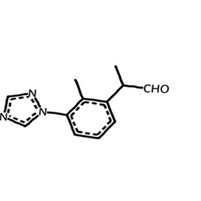 Cc1c(C(C)C=O)cccc1-n1cncn1